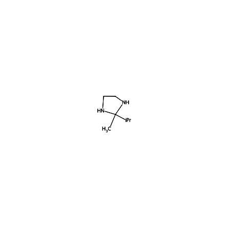 CC(C)C1(C)NCCN1